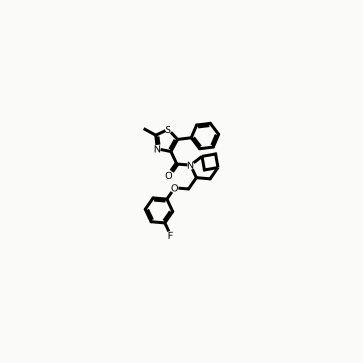 Cc1nc(C(=O)N2C(COc3cccc(F)c3)CC3CC2C3)c(-c2ccccc2)s1